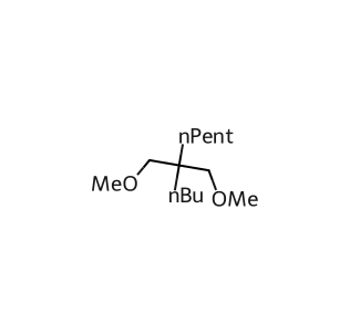 CCCCCC(CCCC)(COC)COC